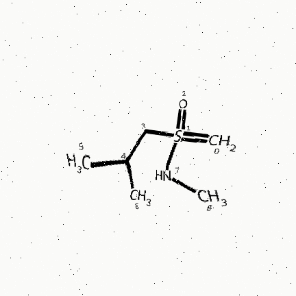 C=S(=O)(CC(C)C)NC